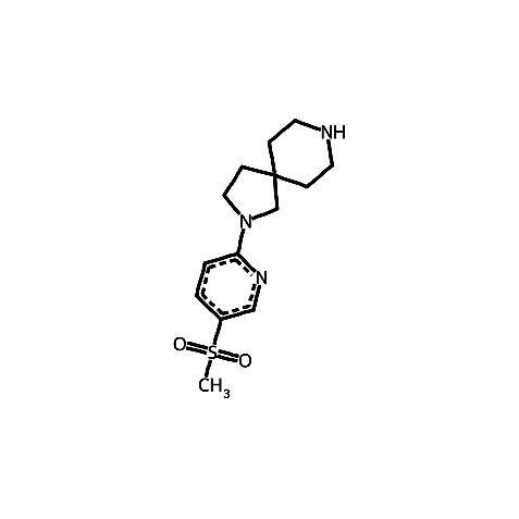 CS(=O)(=O)c1ccc(N2CCC3(CCNCC3)C2)nc1